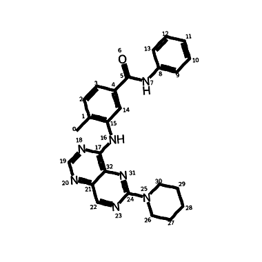 Cc1ccc(C(=O)Nc2ccccc2)cc1Nc1ncnc2cnc(N3CCCCC3)nc12